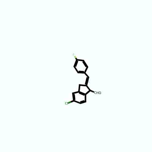 O=CC1/C(=C/c2ccc(F)cc2)Cc2cc(Cl)ccc21